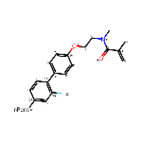 C=C(C)C(=O)N(C)CCOc1ccc(-c2ccc(CCCCC)cc2F)cc1